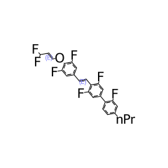 CCCc1ccc(-c2cc(F)c(/C=C/c3cc(F)c(O/C=C/C(F)F)c(F)c3)c(F)c2)c(F)c1